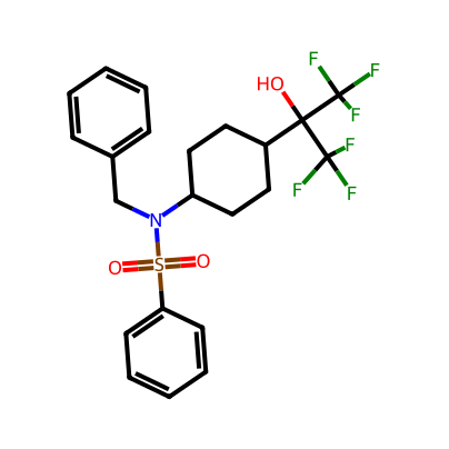 O=S(=O)(c1ccccc1)N(Cc1ccccc1)C1CCC(C(O)(C(F)(F)F)C(F)(F)F)CC1